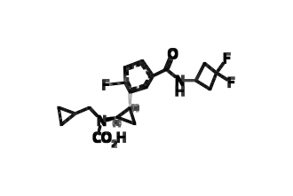 O=C(NC1CC(F)(F)C1)c1ccc(F)c([C@@H]2C[C@H]2N(CC2CC2)C(=O)O)c1